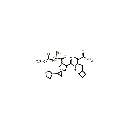 CC(C)(C)OC(=O)N[C@H](C(=O)N1C[C@]2(CC1C(=O)NC(CC1CCC1)C(=O)C(N)=O)CC2C1CCCC1)C(C)(C)C